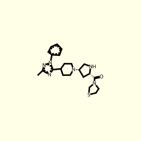 Cc1nc(C2CCN([C@@H]3CN[C@H](C(=O)N4CCSC4)C3)CC2)n(-c2ccccc2)n1